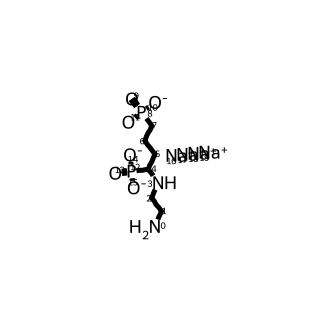 NCCNC(CCCP(=O)([O-])[O-])P(=O)([O-])[O-].[Na+].[Na+].[Na+].[Na+]